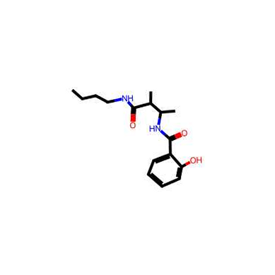 CCCCNC(=O)C(C)C(C)NC(=O)c1ccccc1O